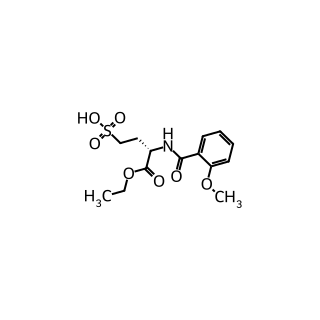 CCOC(=O)[C@H](CCS(=O)(=O)O)NC(=O)c1ccccc1OC